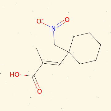 C/C(=C\C1(C[N+](=O)[O-])CCCCC1)C(=O)O